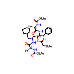 CNCC(=O)O[C@@H](CN(CC1CCCCC1)NC(=O)[C@@H](NC(=O)OC)C(C)C)[C@H](Cc1ccccc1)NC(=O)[C@@H](NC(=O)OC)C(C)C